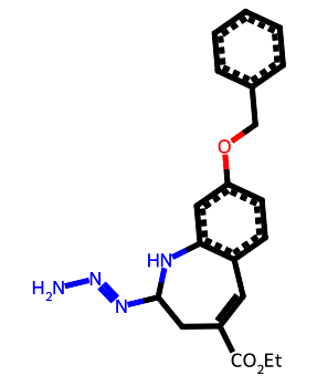 CCOC(=O)C1=Cc2ccc(OCc3ccccc3)cc2NC(N=NN)C1